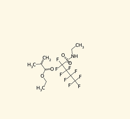 C=C(C)C(=O)OCC.CCNS(=O)(=O)C(F)(F)C(F)(F)C(F)(F)C(F)(F)F